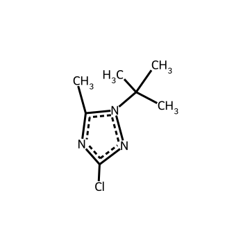 Cc1nc(Cl)nn1C(C)(C)C